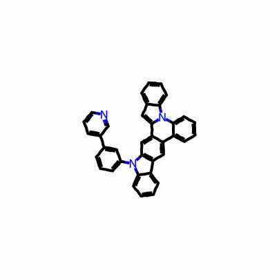 c1cncc(-c2cccc(-n3c4ccccc4c4cc5c6ccccc6n6c7ccccc7cc6c5cc43)c2)c1